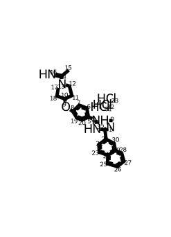 CN=C(NNc1ccc(OC2CCN(C(C)=N)CC2)cc1)c1ccc2ccccc2c1.Cl.Cl.Cl